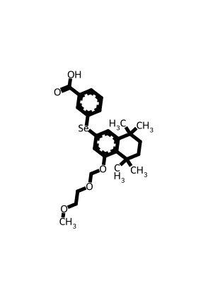 COCCOCOc1cc([Se]c2cccc(C(=O)O)c2)cc2c1C(C)(C)CCC2(C)C